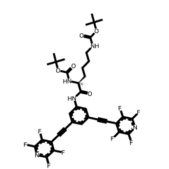 CC(C)(C)OC(=O)NCCCC[C@H](NC(=O)OC(C)(C)C)C(=O)Nc1cc(C#Cc2c(F)c(F)nc(F)c2F)cc(C#Cc2c(F)c(F)nc(F)c2F)c1